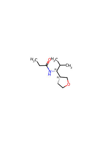 CCC(=O)N[C@H](C(C)C)[C@H]1CCOC1